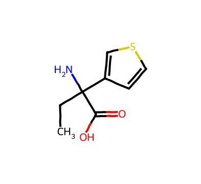 CCC(N)(C(=O)O)c1ccsc1